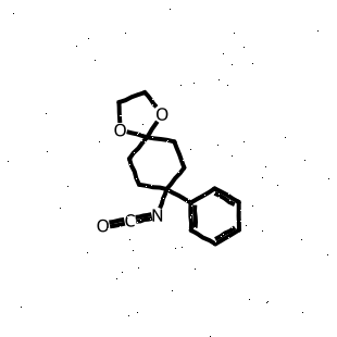 O=C=NC1(c2ccccc2)CCC2(CC1)OCCO2